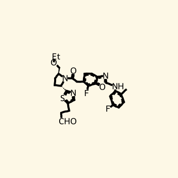 CCOC[C@@H]1CC[C@@H](c2ncc(CCC=O)s2)N1C(=O)Cc1ccc2nc(Nc3cc(F)ccc3C)oc2c1F